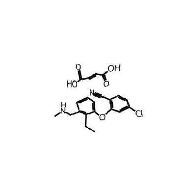 CCc1c(CNC)cccc1Oc1cc(Cl)ccc1C#N.O=C(O)C=CC(=O)O